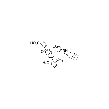 Cc1cccc(C)c1-c1cc(OC[C@@H](CC(C)(C)C)NCC2CCC3(CC2)OCCO3)nc(NS(=O)(=O)c2cccc(C(=O)O)c2)n1